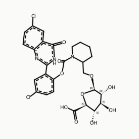 O=C(O)[C@H]1O[C@@H](OCC2CCCCN2C(=O)Oc2ccc(Cl)cc2-c2nc3ccc(Cl)cc3c(=O)[nH]2)[C@H](O)[C@@H](O)[C@@H]1O